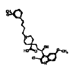 COc1cccc(SCCCN2CCC(CCC(O)c3c(Cl)cnc4ccc(OC)cc34)(C(=O)O)CC2)c1